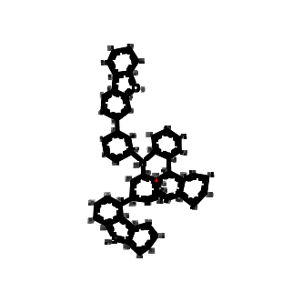 c1cc(-c2ccc3c(c2)oc2ccccc23)cc(N(c2cccc(-c3cccc4sc5ccccc5c34)c2)c2ccccc2-c2cccc3ccccc23)c1